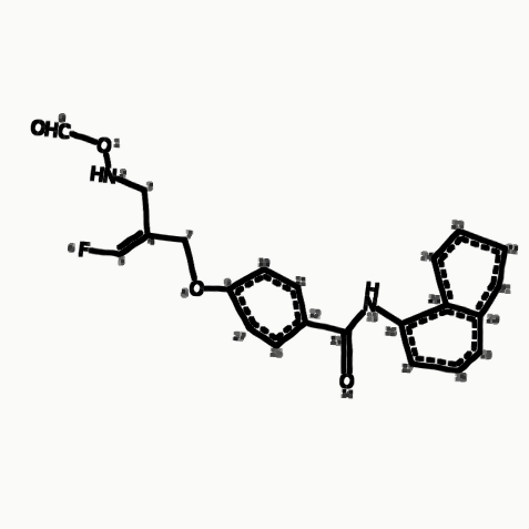 O=CONCC(=CF)COc1ccc(C(=O)Nc2cccc3ccccc23)cc1